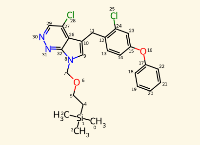 C[Si](C)(C)CCOCn1cc(Cc2ccc(Oc3ccccc3)cc2Cl)c2c(Cl)cnnc21